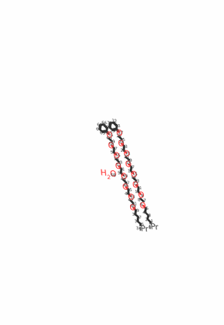 CC(C)CCCCCOCCOCCOCCOCCOCCOCCOCCOc1ccccc1.CC(C)CCCCCOCCOCCOCCOCCOCCOCCOCCOc1ccccc1.O